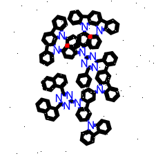 c1ccc(-c2nc(-c3ccccc3-c3ccc4c(c3)c3ccccc3n4-c3ccc4c(c3)c3cc(-n5c6ccccc6c6ccccc65)ccc3n4-c3nc(-c4cccc5ccccc45)nc(-c4cccc5ccccc45)n3)nc(-n3c4ccc(-n5c6ccccc6c6ccc7c8ccccc8n(-c8ccccc8)c7c65)cc4c4cc(-n5c6ccccc6c6ccc7c8ccccc8n(-c8ccccc8)c7c65)ccc43)n2)cc1